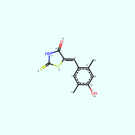 Cc1cc(C=C2SC(=S)NC2=O)c(C)cc1O